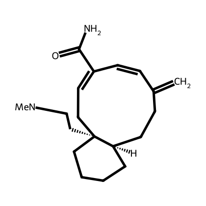 C=C1/C=C\C(C(N)=O)=C/C[C@]2(CCNC)CCCC[C@@H]2CC1